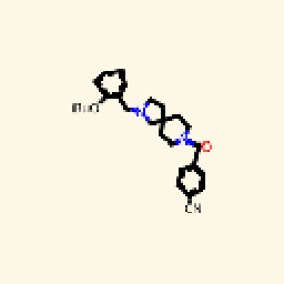 CC(C)COc1ccccc1CN1CCC2(CCN(C(=O)c3ccc(C#N)cc3)CC2)C1